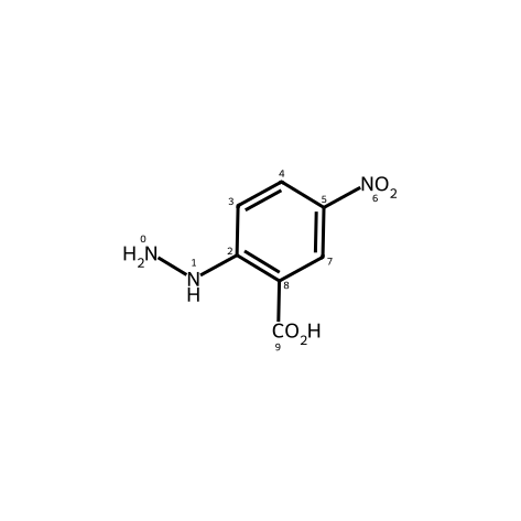 NNc1ccc([N+](=O)[O-])cc1C(=O)O